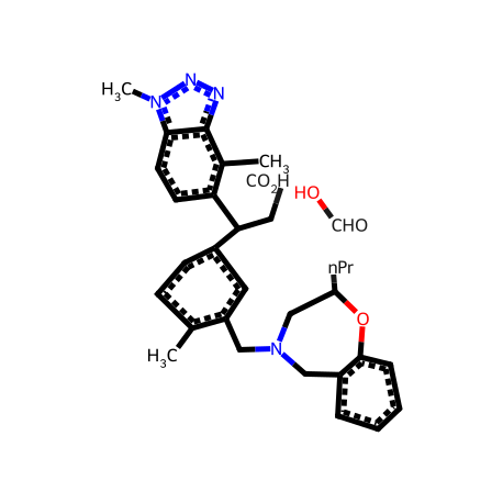 CCCC1CN(Cc2cc(C(CC(=O)O)c3ccc4c(nnn4C)c3C)ccc2C)Cc2ccccc2O1.O=CO